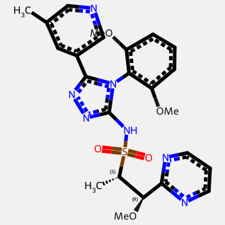 COc1cccc(OC)c1-n1c(NS(=O)(=O)[C@@H](C)[C@H](OC)c2ncccn2)nnc1-c1cncc(C)c1